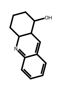 OC1CCCC2N=c3ccccc3=CC12